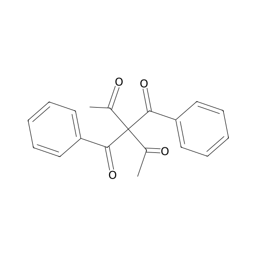 CC(=O)C(C(C)=O)(C(=O)c1ccccc1)C(=O)c1ccccc1